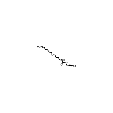 CCC#CCNC(=O)NCCCCOCSSCCNC